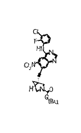 CC(C)(C)OC(=O)N1C[C@H]2C[C@@]2(C#Cc2cc3ncnc(Nc4cccc(Cl)c4F)c3cc2[N+](=O)[O-])C1